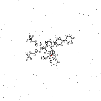 CC(C)(C)OC(=O)N1C2CCCC1CC(c1cc(N(COCC[Si](C)(C)C)COCC[Si](C)(C)C)n3ncc(-c4ccc(-c5ccccc5)nc4)c3n1)C2